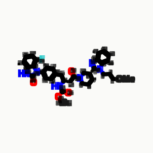 COCCCn1c([C@@H]2CCCN(C(=O)C[C@@H](Cc3ccc(-n4c(=O)[nH]c5cccc(F)c54)cc3)NC(=O)OC(C)(C)C)C2)nc2ccccc21